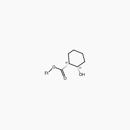 CCOC(=O)[C@@H]1CCCC[C@@H]1O